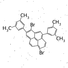 Cc1cc(C)cc(-c2cc3ccc4c(Br)ccc5c(-c6cc(C)cc(C)c6)cc(c2Br)c3c45)c1